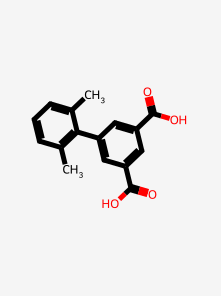 Cc1cccc(C)c1-c1cc(C(=O)O)cc(C(=O)O)c1